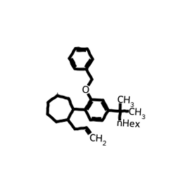 C=CCC1CCC[CH]CC1c1ccc(C(C)(C)CCCCCC)cc1OCc1ccccc1